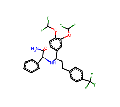 NC(=O)[C@@H](N[C@H](CCc1ccc(C(F)(F)F)cc1)c1ccc(OC(F)F)c(OC(F)F)c1)c1ccccc1